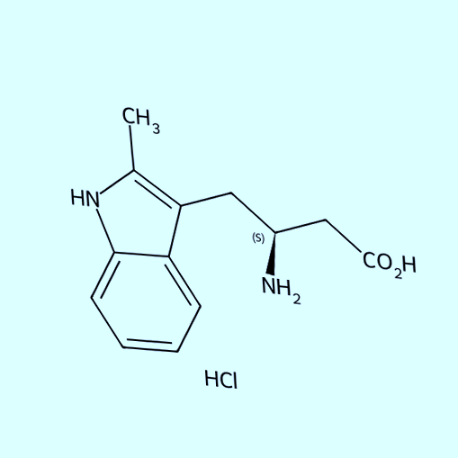 Cc1[nH]c2ccccc2c1C[C@H](N)CC(=O)O.Cl